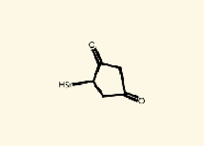 O=C1CC(=O)[CH]([SrH])C1